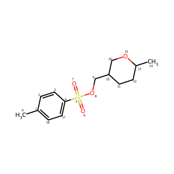 Cc1ccc(S(=O)(=O)OCC2CCC(C)OC2)cc1